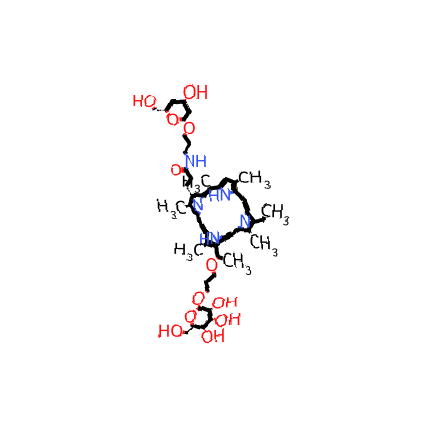 CCC1=C(C)c2cc3[nH]c(cc4nc(c(C)c5cc(C)c(cc1n2)[nH]5)[C@@H](CCC(=O)NCCCO[C@H]1C[C@@H](O)C[C@@H](CO)O1)[C@@H]4C)c(C)c3C(C)OCCCO[C@@H]1O[C@H](CO)[C@@H](O)[C@H](O)[C@H]1O